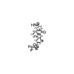 N=S1(=O)CCN(C(=O)N(Cc2ccc(-c3nnc(C(F)F)o3)cn2)c2ccccc2)CC1